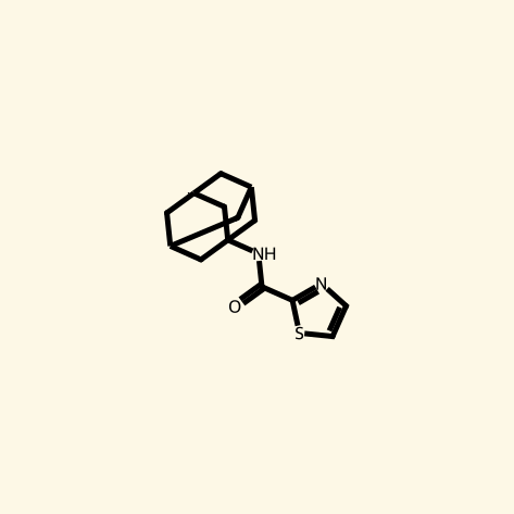 O=C(NC12C[C]3CC(CC(C3)C1)C2)c1nccs1